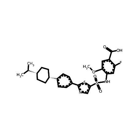 COc1cc(C(=O)O)c(F)cc1NS(=O)(=O)c1cnc(-c2ccc([C@H]3CC[C@@H](C(C)C)CC3)cc2)s1